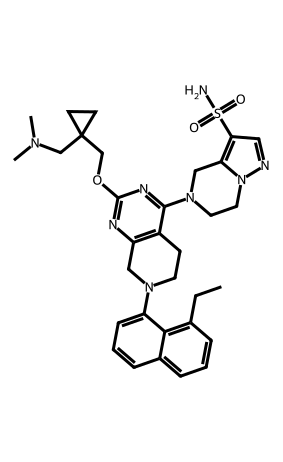 CCc1cccc2cccc(N3CCc4c(nc(OCC5(CN(C)C)CC5)nc4N4CCn5ncc(S(N)(=O)=O)c5C4)C3)c12